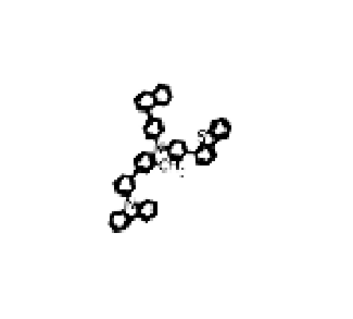 Cc1cc(-c2cccc(-n3c4ccccc4c4ccccc43)c2)ccc1N(c1ccc(-c2cccc3ccccc23)cc1)c1ccc(-c2cccc3c2sc2ccccc23)cc1